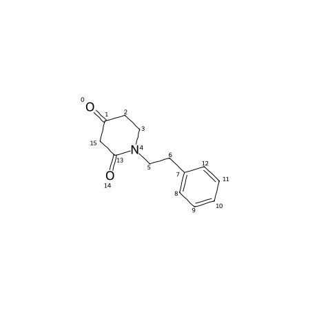 O=C1CCN(CCc2ccccc2)C(=O)C1